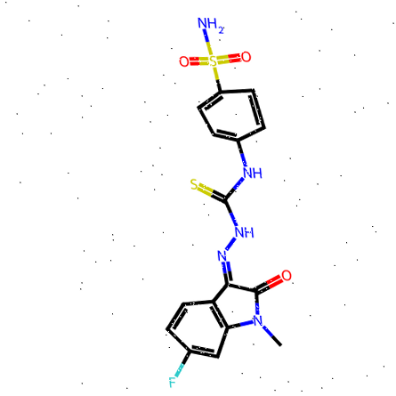 CN1C(=O)C(=NNC(=S)Nc2ccc(S(N)(=O)=O)cc2)c2ccc(F)cc21